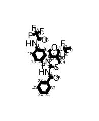 CC(F)(F)[C@H]1OC[C@]2(c3cc(NC(=O)C(F)(F)F)ccc3F)N=C(NC(=O)c3ccccc3)SC[C@H]12